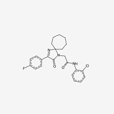 O=C(CN1C(=O)C(c2ccc(F)cc2)=NC12CCCCCC2)Nc1ccccc1Cl